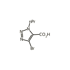 CCCn1nnc(Br)c1C(=O)O